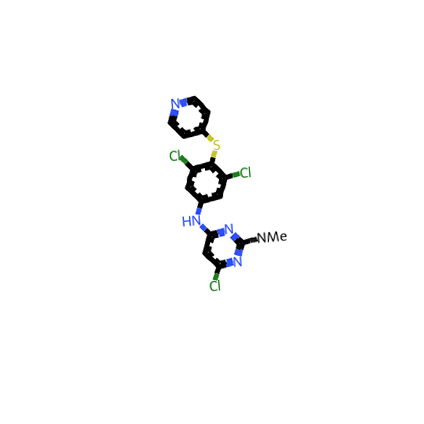 CNc1nc(Cl)cc(Nc2cc(Cl)c(Sc3ccncc3)c(Cl)c2)n1